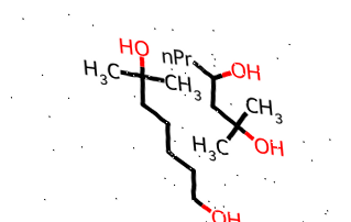 CC(C)(O)CCCCCO.CCCC(O)CC(C)(C)O